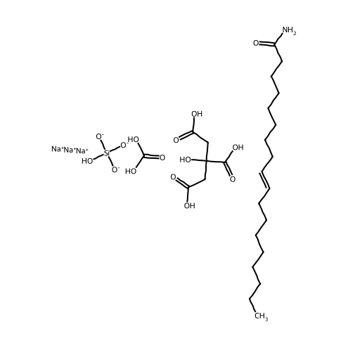 CCCCCCCCC=CCCCCCCCC(N)=O.O=C(O)CC(O)(CC(=O)O)C(=O)O.O=C(O)O.[Na+].[Na+].[Na+].[O-][Si]([O-])([O-])O